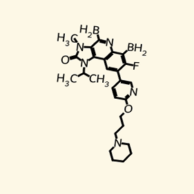 Bc1c(F)c(-c2ccc(OCCCN3CCCCC3)nc2)cc2c1nc(B)c1c2n(C(C)C)c(=O)n1C